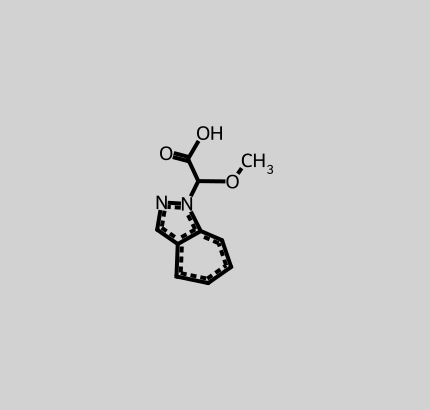 COC(C(=O)O)n1ncc2ccccc21